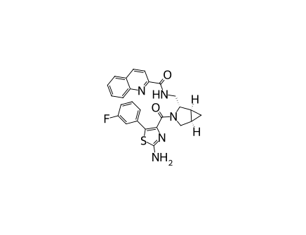 Nc1nc(C(=O)N2C[C@@H]3C[C@@H]3[C@H]2CNC(=O)c2ccc3ccccc3n2)c(-c2cccc(F)c2)s1